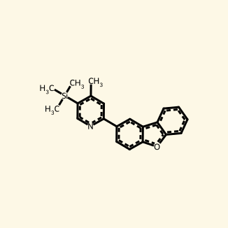 Cc1cc(-c2ccc3oc4ccccc4c3c2)ncc1[Si](C)(C)C